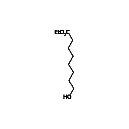 CCOC(=O)CCCCCCCO